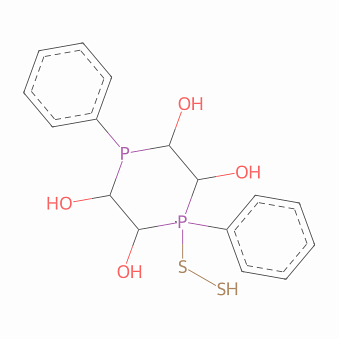 OC1C(O)[P](SS)(c2ccccc2)C(O)C(O)P1c1ccccc1